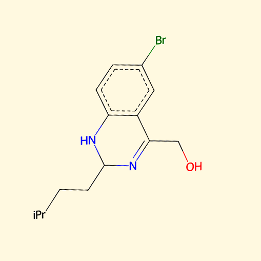 CC(C)CCC1N=C(CO)c2cc(Br)ccc2N1